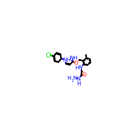 Cc1cccc(NC2OC2NN)c1COC(=N)/C=C\NC1C=CC(Cl)=CC1